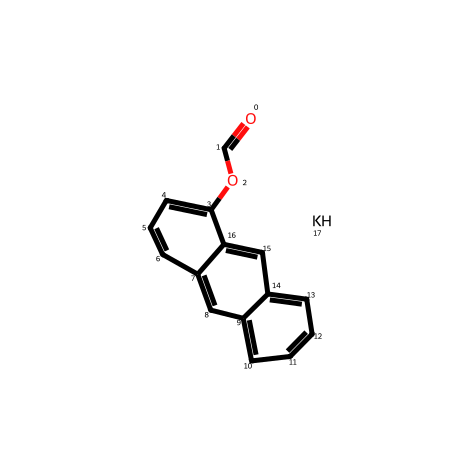 O=COc1cccc2cc3ccccc3cc12.[KH]